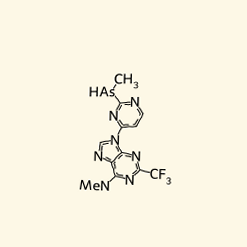 CNc1nc(C(F)(F)F)nc2c1ncn2-c1ccnc([AsH]C)n1